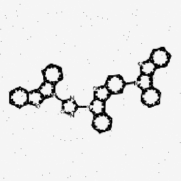 c1ccc2c(c1)oc1c2c2ccccc2n1-c1ccc2oc3c(c2c1)c1ccccc1n3-c1noc(-n2c3ccccc3c3c4ccccc4oc32)n1